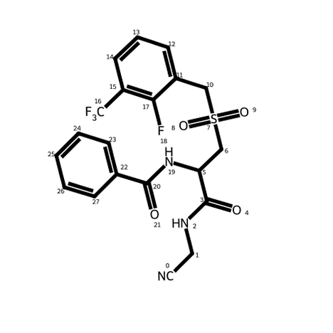 N#CCNC(=O)C(CS(=O)(=O)Cc1cccc(C(F)(F)F)c1F)NC(=O)c1ccccc1